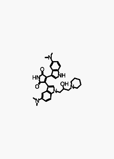 CN(C)c1ccc2[nH]cc(C3=C(c4cn(CC(O)CN5CCCCC5)c5ccc(N(C)C)cc45)C(=O)NC3=O)c2c1